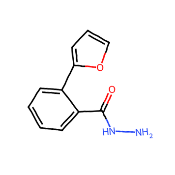 NNC(=O)c1ccccc1-c1ccco1